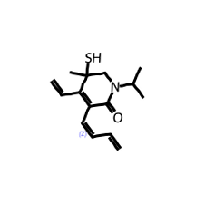 C=C/C=C\C1=C(C=C)C(C)(S)CN(C(C)C)C1=O